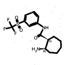 N[C@@H]1CCCCC[C@@H]1C(=O)Nc1cccc(S(=O)(=O)C(F)(F)F)c1